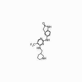 O=C1Cc2cc(Nc3ncc(C(F)(F)F)c(NCC4CCCNC4)n3)ccc2N1